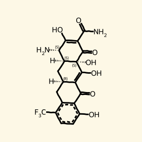 NC(=O)C1=C(O)[C@@H](N)[C@@H]2C[C@@H]3Cc4c(C(F)(F)F)ccc(O)c4C(=O)C3=C(O)[C@]2(O)C1=O